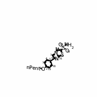 CCCCCOc1ccc(-c2cn3nc(S(N)(=O)=O)sc3n2)cc1